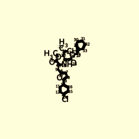 COC(=O)[C@H](Cc1ccc(-c2ccc(Cl)cc2)o1)N[C@@H](CC(C)C)C(=O)OCc1ccccc1